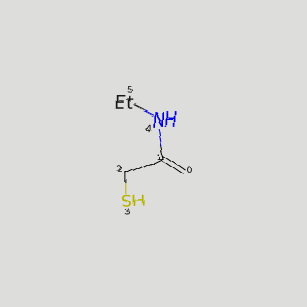 C=C(CS)NCC